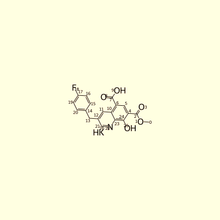 COC(=O)c1cc(C(=O)O)c2cc(Cc3ccc(F)cc3)cnc2c1O.[KH]